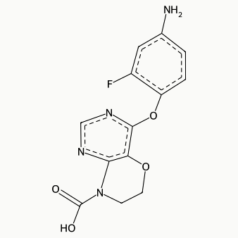 Nc1ccc(Oc2ncnc3c2OCCN3C(=O)O)c(F)c1